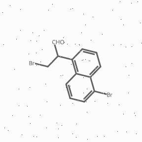 O=CC(CBr)c1cccc2c(Br)cccc12